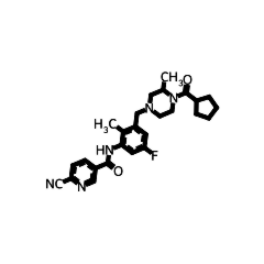 Cc1c(CN2CCN(C(=O)C3CCCC3)C(C)C2)cc(F)cc1NC(=O)c1ccc(C#N)nc1